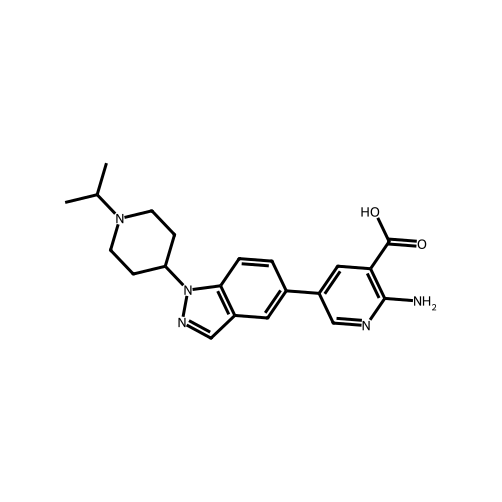 CC(C)N1CCC(n2ncc3cc(-c4cnc(N)c(C(=O)O)c4)ccc32)CC1